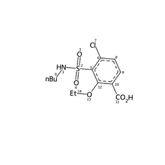 CCCCNS(=O)(=O)c1c(Cl)ccc(C(=O)O)c1OCC